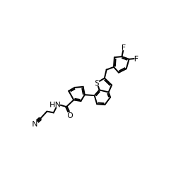 N#CCCNC(=O)c1cccc(-c2cccc3cc(Cc4ccc(F)c(F)c4)sc23)c1